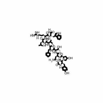 CNC(=N)NCCC[C@H](NC(=O)[C@H](CC(C)C)NC(=O)[C@@H](NC(=O)[C@H](Cc1ccccc1)NC(=O)[C@@H](NC(=O)[C@H](CC(N)=O)NC(=O)[C@@H]1C[C@@H](O)CN1C(=O)[C@@H](Cc1ccc(O)cc1)NC(C)=O)[C@@H](C)O)C(C)C)C(=O)N[C@@H](Cc1c[nH]c2ccccc12)C(N)=O